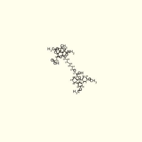 COc1ccc(C(OC[C@@H](O)COCCCCCCCO[C@@H]2O[C@H]([CH]CC(=O)O)[C@@H](OC(C)=O)[C@H](OC(C)=O)[C@H]2CC(N)=O)(c2ccccc2)c2ccc(OC)cc2)cc1